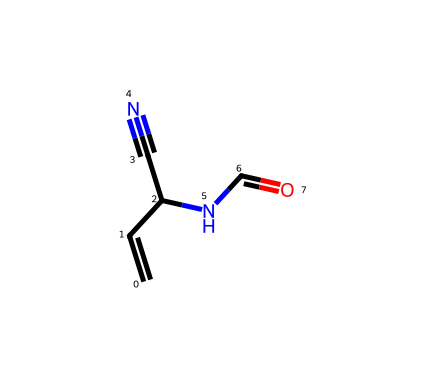 C=CC(C#N)NC=O